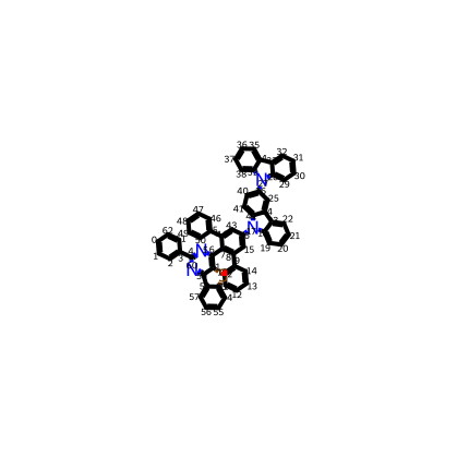 c1ccc(-c2nc(-c3c(-c4ccccc4)cc(-n4c5ccccc5c5cc(-n6c7ccccc7c7ccccc76)ccc54)cc3-c3ccccc3)c3sc4ccccc4c3n2)cc1